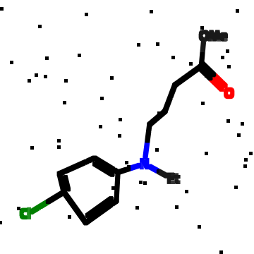 CCN(CCCC(=O)OC)c1ccc(Cl)cc1